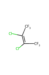 FC(F)(F)/C(Cl)=C(/Cl)C(F)(F)F